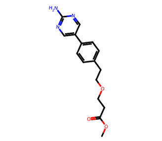 COC(=O)CCOCCc1ccc(-c2cnc(N)nc2)cc1